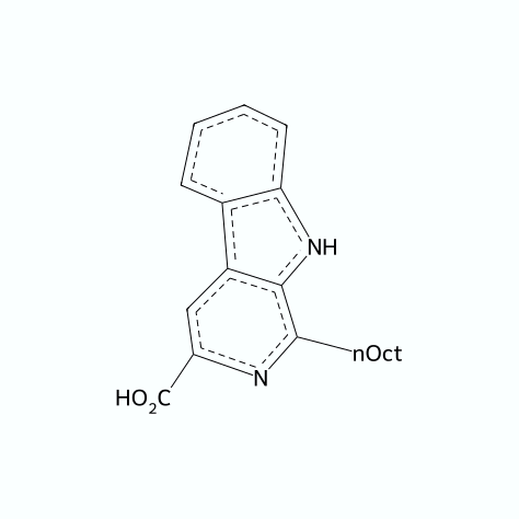 CCCCCCCCc1nc(C(=O)O)cc2c1[nH]c1ccccc12